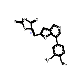 Cc1cc(-c2cncc3cc(/C=C4/SC(=S)NC4=O)oc23)ccc1N